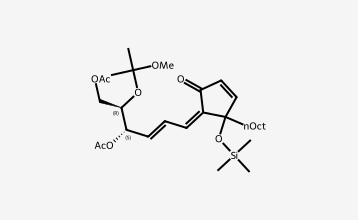 CCCCCCCCC1(O[Si](C)(C)C)C=CC(=O)C1=CC=C[C@H](OC(C)=O)[C@@H](COC(C)=O)OC(C)(C)OC